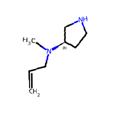 C=CCN(C)[C@@H]1CCNC1